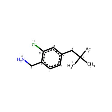 CC(=O)C(C)(C)Cc1ccc(CN)c(Cl)c1